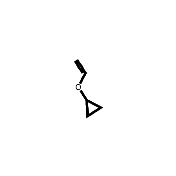 C=[C]OC1CC1